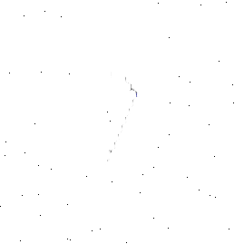 CCCC[C@@H](O)/C=C\CCCCCCCCCCCCC(=O)OCC